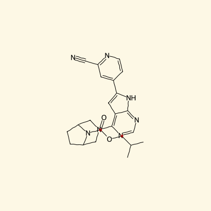 CC(C)COC(=O)N1C2CCC1CN(c1ncnc3[nH]c(-c4ccnc(C#N)c4)cc13)C2